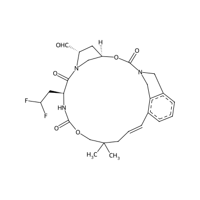 CC1(C)C/C=C/c2cccc3c2CN(C3)C(=O)O[C@@H]2C[C@@H](C=O)N(C2)C(=O)[C@H](CC(F)F)NC(=O)OC1